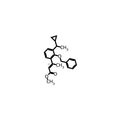 COC(=O)/C=C(\C)c1cccc(C(C)C2CC2)c1OCc1ccccc1